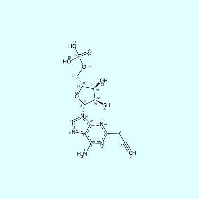 C#CCc1nc(N)c2ncn([C@@H]3O[C@H](COP(=O)(O)O)[C@@H](O)[C@H]3S)c2n1